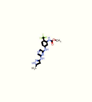 COC(=O)Nc1cc(Nc2cncc(Nc3cc(C)[nH]n3)n2)ccc1C(F)(F)F